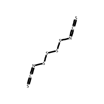 S=C=NSSSSN=C=S